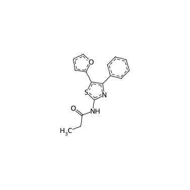 CCC(=O)Nc1nc(-c2ccccc2)c(-c2ccco2)s1